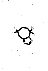 [2H]C1([2H])CCC([2H])([2H])n2ncnc2C1